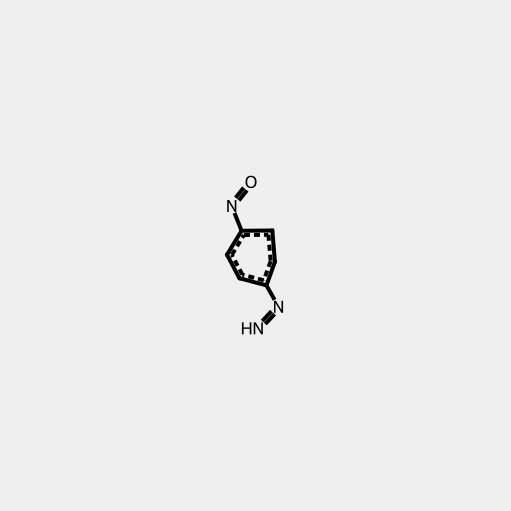 N=Nc1ccc(N=O)cc1